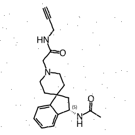 C#CCNC(=O)CN1CCC2(CC1)C[C@H](NC(C)=O)c1ccccc12